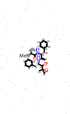 C=C(N[C@@H](Cc1ccccc1)C(=O)C1(C)CO1)[C@H](Cc1ccccc1)NC(=O)[C@H](NC)C(C)CC